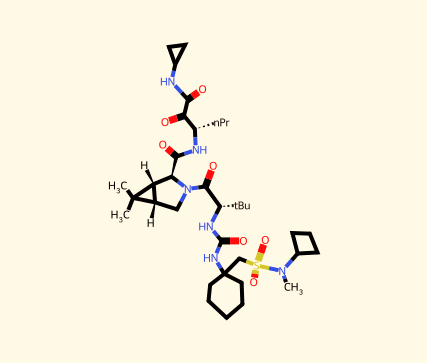 CCC[C@H](NC(=O)[C@@H]1[C@@H]2[C@H](CN1C(=O)[C@@H](NC(=O)NC1(CS(=O)(=O)N(C)C3CCC3)CCCCC1)C(C)(C)C)C2(C)C)C(=O)C(=O)NC1CC1